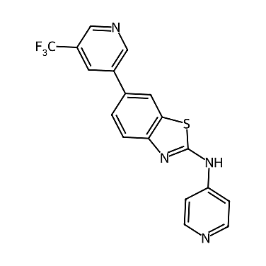 FC(F)(F)c1cncc(-c2ccc3nc(Nc4ccncc4)sc3c2)c1